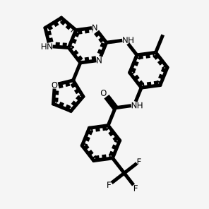 Cc1ccc(NC(=O)c2cccc(C(F)(F)F)c2)cc1Nc1nc(-c2ccco2)c2[nH]ccc2n1